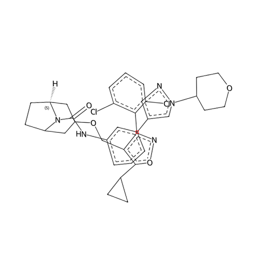 O=C(Nc1cccc(-c2cnn(C3CCOCC3)c2)c1)N1C2CC[C@H]1CC(OCc1c(-c3c(Cl)cccc3Cl)noc1C1CC1)C2